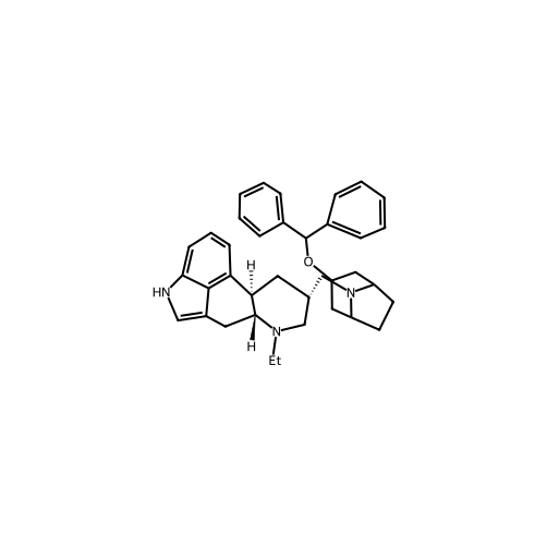 CCN1C[C@@H](CN2C3CCC2CC(OC(c2ccccc2)c2ccccc2)C3)C[C@@H]2c3cccc4[nH]cc(c34)C[C@H]21